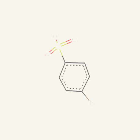 O=S(=O)([O-])c1ccc(Br)cc1.[Li+]